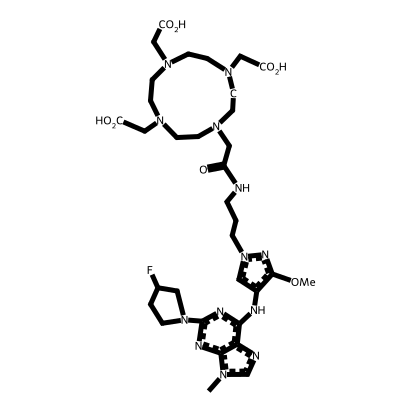 COc1nn(CCCNC(=O)CN2CCN(CC(=O)O)CCN(CC(=O)O)CCN(CC(=O)O)CC2)cc1Nc1nc(N2CCC(F)C2)nc2c1ncn2C